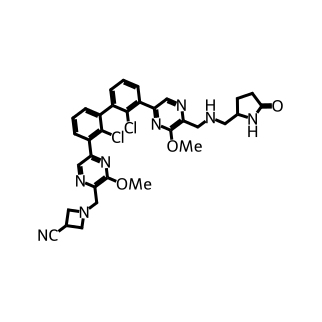 COc1nc(-c2cccc(-c3cccc(-c4cnc(CN5CC(C#N)C5)c(OC)n4)c3Cl)c2Cl)cnc1CNCC1CCC(=O)N1